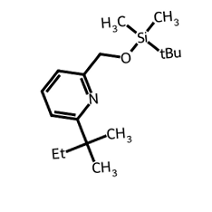 CCC(C)(C)c1cccc(CO[Si](C)(C)C(C)(C)C)n1